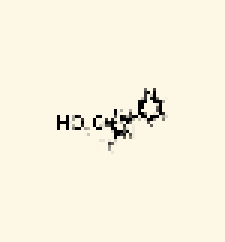 CCc1nc(-c2cccnc2)sc1C(=O)O